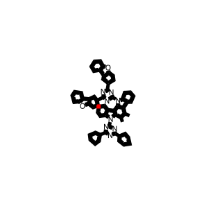 Cc1c(C)c2c(c3ccccc3n2-c2nc(-c3ccccc3)nc(-c3ccccc3)n2)c2c1c1ccccc1n2-c1nc(-c2ccc3oc4ccccc4c3c2)nc(-c2ccc3oc4ccccc4c3c2)n1